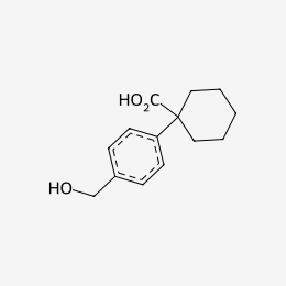 O=C(O)C1(c2ccc(CO)cc2)CCCCC1